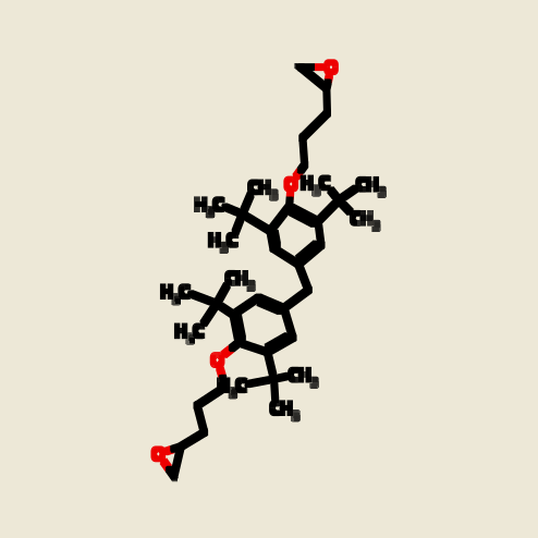 CC(C)(C)c1cc(Cc2cc(C(C)(C)C)c(OCCCC3CO3)c(C(C)(C)C)c2)cc(C(C)(C)C)c1OCCCC1CO1